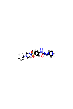 CC(C)N1CCN(S(=O)(=O)c2ccc(NC(=O)NCc3ccncc3)cc2)CC1